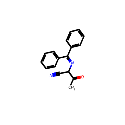 CC(=O)C(C#N)N=C(c1ccccc1)c1ccccc1